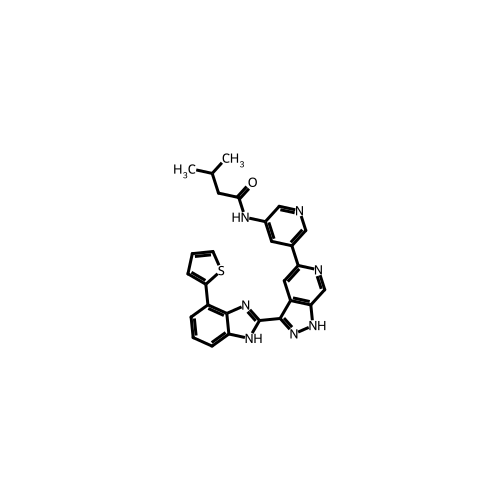 CC(C)CC(=O)Nc1cncc(-c2cc3c(-c4nc5c(-c6cccs6)cccc5[nH]4)n[nH]c3cn2)c1